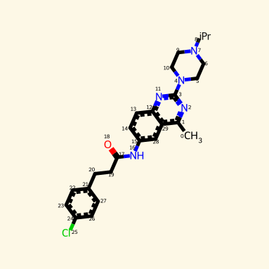 Cc1nc(N2CCN(C(C)C)CC2)nc2ccc(NC(=O)CCc3ccc(Cl)cc3)cc12